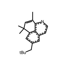 CC1=CC(C)(C)c2cc(CC(C)(C)C)cc3ccnc1c23